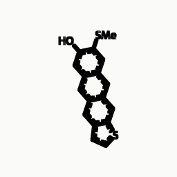 CSc1cc2cc3cc4sccc4cc3cc2cc1O